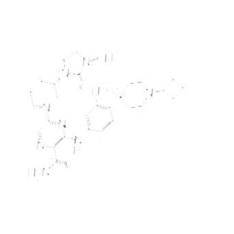 CN1CCN([C@@H]2CCCN(c3cnc(C(N)=O)c(Nc4ccc(C5(C)CCN(C6CCC6)CC5)cc4)n3)C2)C1=O